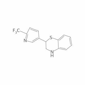 FC(F)(F)c1ccc(C2CNc3ccccc3S2)cn1